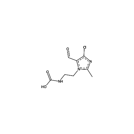 Cc1nc(Cl)c(C=O)n1CCNC(=O)O